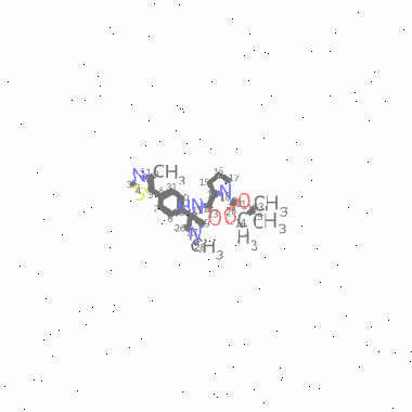 Cc1ncsc1-c1ccc(C2(NC(=O)C3CCCN3C(=O)OC(C)(C)C)CN(C)C2)cc1